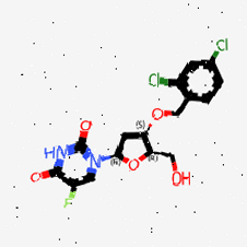 O=c1[nH]c(=O)n([C@H]2C[C@H](OCc3ccc(Cl)cc3Cl)[C@@H](CO)O2)cc1F